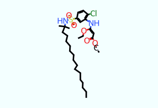 CCCCCCCCCCCCCCCC(C)(C)NS(=O)(=O)c1ccc(Cl)c(NC(=CC(=O)OCC)OCC)c1